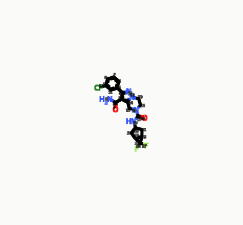 NC(=O)c1c(-c2cccc(Cl)c2)nn2c1CN(C(=O)NC1CC3C(C1)C3(F)F)CC2